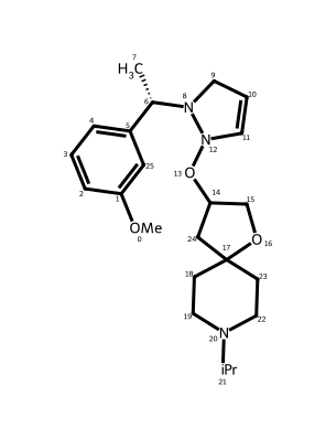 COc1cccc([C@H](C)N2CC=CN2OC2COC3(CCN(C(C)C)CC3)C2)c1